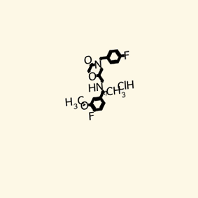 COc1cc([C@@H](C)NCC2CN(Cc3ccc(F)cc3)C(=O)CO2)ccc1F.Cl